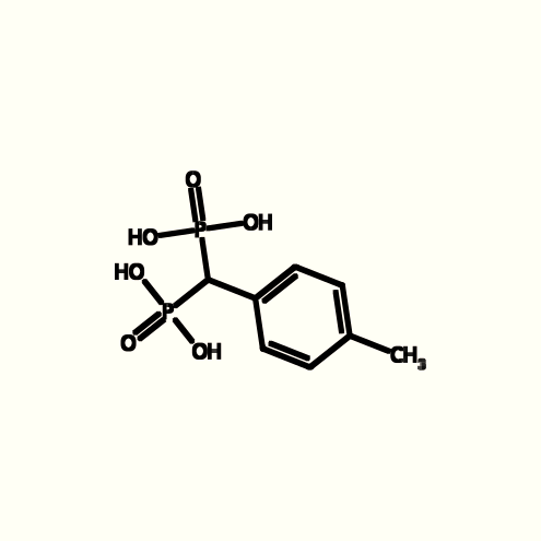 Cc1ccc(C(P(=O)(O)O)P(=O)(O)O)cc1